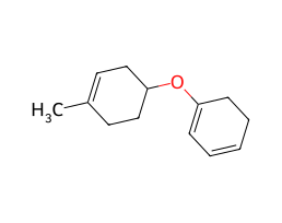 CC1=CCC(OC2=CC=CCC2)CC1